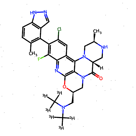 [2H]C([2H])([2H])N(C[C@@H]1CN2C(=O)[C@H]3CN[C@H](C)CN3c3c2c(nc2c(F)c(-c4c(C)ccc5[nH]ncc45)c(Cl)cc32)O1)C([2H])([2H])[2H]